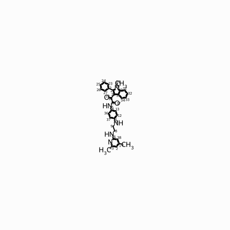 Cc1cc(C)nc(NCCNc2ccc(NC(=O)C(=O)c3c(-c4ccccc4)n(C)c4ccccc34)cc2)c1